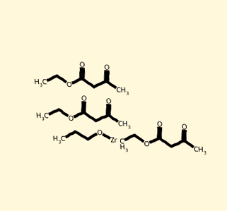 CCC[O][Zr].CCOC(=O)CC(C)=O.CCOC(=O)CC(C)=O.CCOC(=O)CC(C)=O